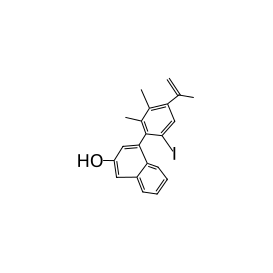 C=C(C)c1cc(I)c(-c2cc(O)cc3ccccc23)c(C)c1C